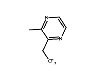 Cc1nccnc1CC(F)(F)F